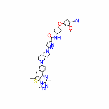 COc1cc(OC2CCC(NC(=O)c3ccc(N4CCC5(CCCN(c6ccc(C7=N[C@@H](C)c8nnc(C)n8-c8sc(C)c(C)c87)cc6)C5)C4)nn3)CC2)ccc1C#N